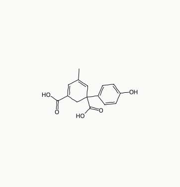 CC1=CC(C(=O)O)(c2ccc(O)cc2)CC(C(=O)O)=C1